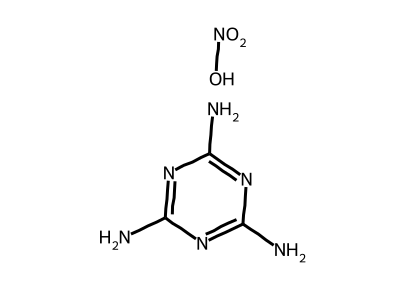 Nc1nc(N)nc(N)n1.O=[N+]([O-])O